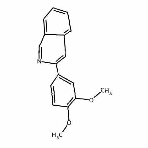 COc1[c]cc(-c2cc3ccccc3cn2)cc1OC